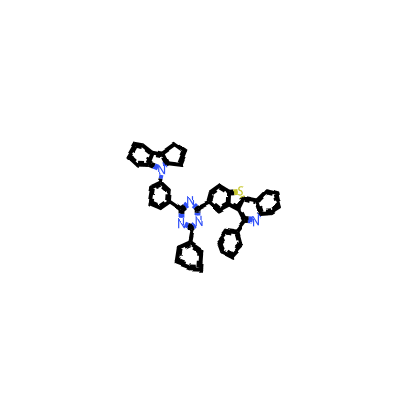 C1=Cc2c(c3ccccc3n2-c2cccc(-c3nc(-c4ccccc4)nc(-c4ccc5sc6c7ccccc7nc(-c7ccccc7)c6c5c4)n3)c2)C1